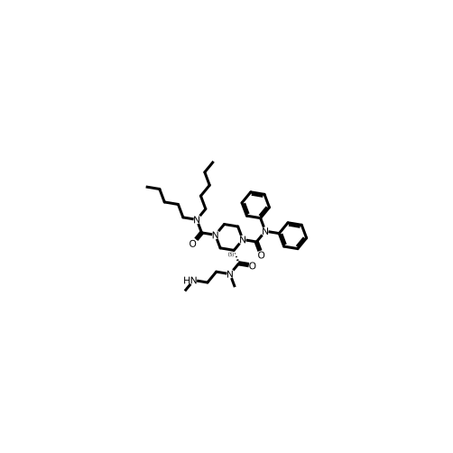 CCCCCN(CCCCC)C(=O)N1CCN(C(=O)N(c2ccccc2)c2ccccc2)[C@H](C(=O)N(C)CCNC)C1